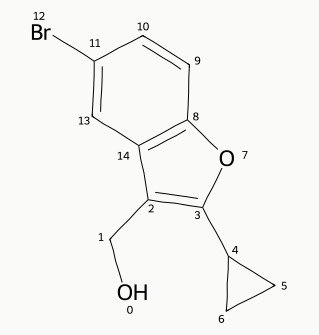 OCc1c(C2CC2)oc2ccc(Br)cc12